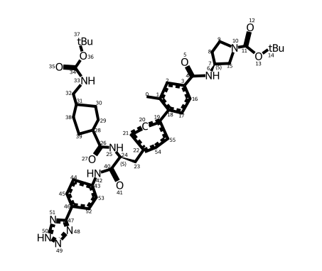 Cc1cc(C(=O)N[C@H]2CCN(C(=O)OC(C)(C)C)C2)ccc1-c1ccc(C[C@H](NC(=O)C2CCC(CNC(=O)OC(C)(C)C)CC2)C(=O)Nc2ccc(-c3nn[nH]n3)cc2)cc1